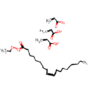 C=CC(=O)O.C=CC(=O)O.C=CC(=O)O.CCCCCCCC/C=C\CCCCCCCC(=O)OOCC